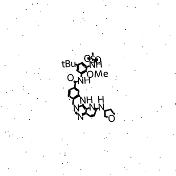 COc1c(NC(=O)c2ccc(C)c(Nc3ncnc4ccc(NC5CCOC5)nc34)c2)cc(C(C)(C)C)cc1NS(C)(=O)=O